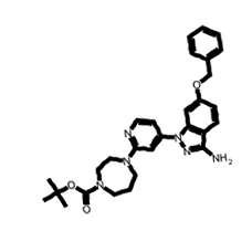 CC(C)(C)OC(=O)N1CCCN(c2cc(-n3nc(N)c4ccc(OCc5ccccc5)cc43)ccn2)CC1